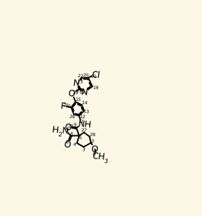 COC1CCC(C(N)=O)(C(=O)Nc2ccc(Oc3ncc(Cl)cn3)c(F)c2)CC1